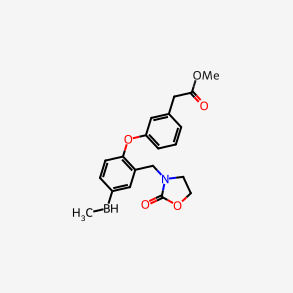 CBc1ccc(Oc2cccc(CC(=O)OC)c2)c(CN2CCOC2=O)c1